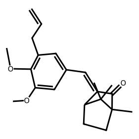 C=CCc1cc(C=C2C(=O)C3(C)CCC2C3(C)C)cc(OC)c1OC